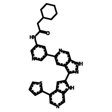 O=C(CC1CCCCC1)Nc1cncc(-c2cc3c(-c4cc5c(-c6cccs6)cncc5[nH]4)n[nH]c3cn2)c1